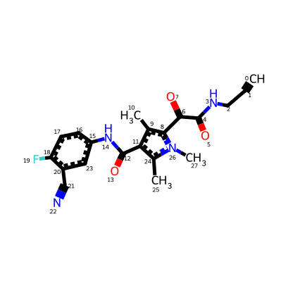 C#CCNC(=O)C(=O)c1c(C)c(C(=O)Nc2ccc(F)c(C#N)c2)c(C)n1C